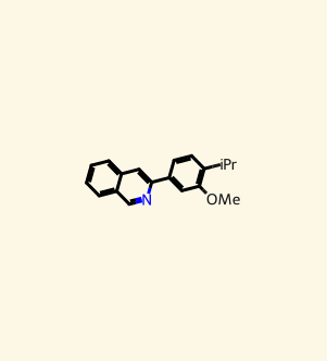 COc1cc(-c2cc3ccccc3cn2)ccc1C(C)C